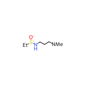 CC[S+]([O-])NCCCNC